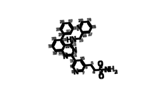 NS(=O)(=O)CCc1cncc(-c2nc(NCc3ccccn3)c3c(-c4ccccc4)cccc3n2)c1